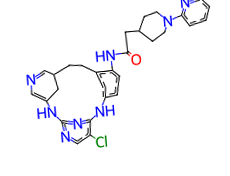 O=C(CC1CCN(c2ccccn2)CC1)Nc1ccc2cc1CCC1C=NC=C(C1)Nc1ncc(Cl)c(n1)N2